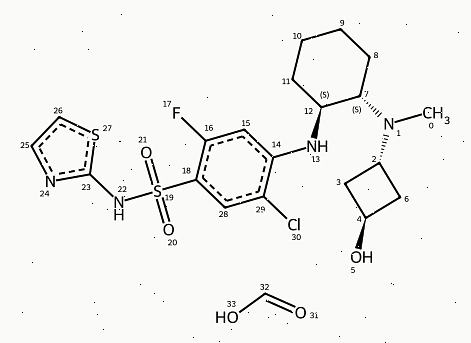 CN([C@H]1C[C@H](O)C1)[C@H]1CCCC[C@@H]1Nc1cc(F)c(S(=O)(=O)Nc2nccs2)cc1Cl.O=CO